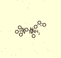 N/C(=N\C(=N/Cc1ccc(-c2cccc3c2Cc2ccccc2-3)cc1)c1ccc2c(c1)nc1n2-c2ccccc2C1(c1ccccc1)c1ccccc1)c1ccccc1